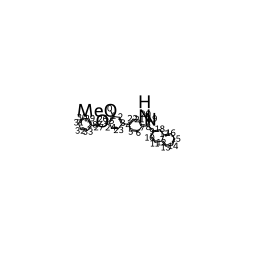 COc1cc(-c2ccc3c(-c4ccc5ccccc5c4)n[nH]c3c2)ccc1OCc1ccccc1